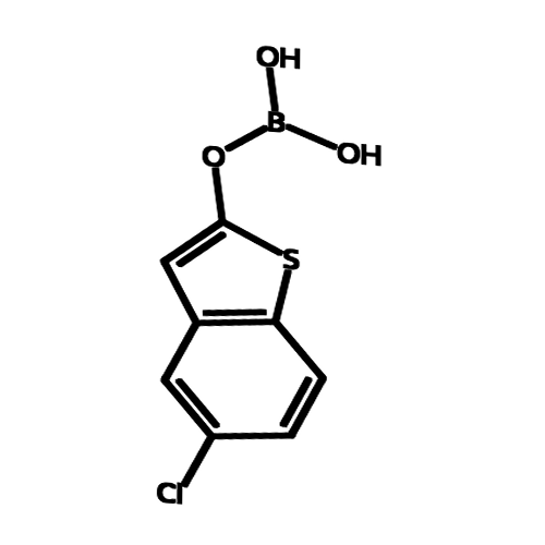 OB(O)Oc1cc2cc(Cl)ccc2s1